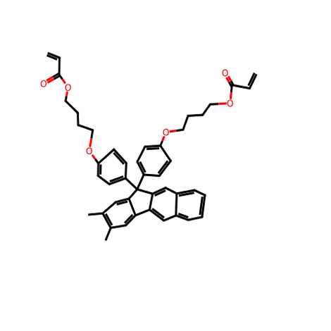 C=CC(=O)OCCCCOc1ccc(C2(c3ccc(OCCCCOC(=O)C=C)cc3)c3cc(C)c(C)cc3-c3cc4ccccc4cc32)cc1